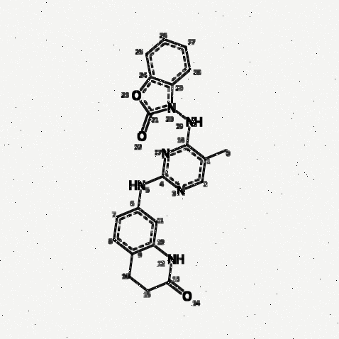 Cc1cnc(Nc2ccc3c(c2)NC(=O)CC3)nc1Nn1c(=O)oc2ccccc21